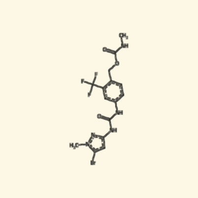 CNC(=O)OCc1ccc(NC(=O)Nc2cc(Br)n(C)n2)cc1C(F)(F)F